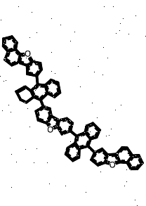 C1=Cc2c(c(-c3ccc4oc5cc(-c6c7ccccc7c(-c7ccc8oc9c%10ccccc%10ccc9c8c7)c7ccccc67)ccc5c4c3)c3ccccc3c2-c2ccc3oc4c5ccccc5ccc4c3c2)CC1